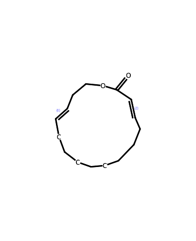 O=C1/C=C\CCCCCCCC/C=C/CCO1